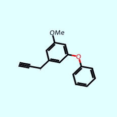 C#C[CH]c1cc(OC)cc(Oc2ccccc2)c1